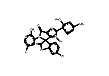 COc1cc(C)ccc1-c1nc2c(n1C(C)C)C1(C(=O)Nc3cc(Cl)ccc31)N(c1cc(Cl)cnc1C)C2=O